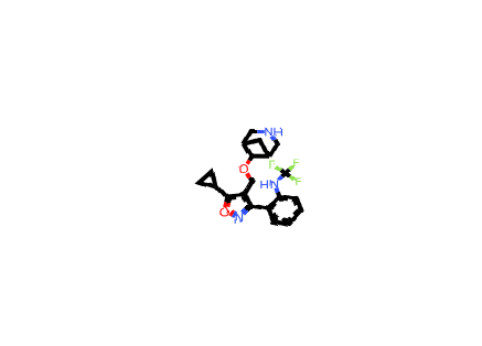 FC(F)(F)Nc1ccccc1-c1noc(C2CC2)c1COC1C2CNCC1C2